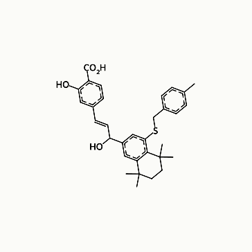 Cc1ccc(CSc2cc(C(O)C=Cc3ccc(C(=O)O)c(O)c3)cc3c2C(C)(C)CCC3(C)C)cc1